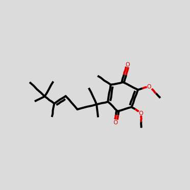 COC1=C(OC)C(=O)C(C(C)(C)C/C=C(\C)C(C)(C)C)=C(C)C1=O